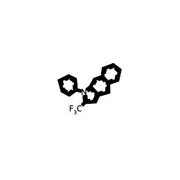 FC(F)(F)c1cc2cc3ccccc3cc2n1-c1ccccc1